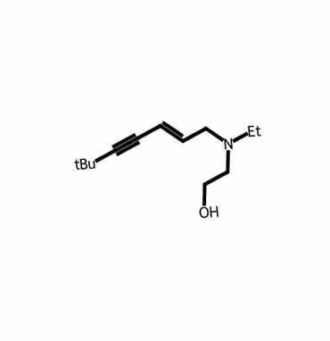 CCN(CC=CC#CC(C)(C)C)CCO